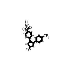 CCC1CC(c2ccc(C(F)(F)F)cc2)=C(c2ccc(S(N)(=O)=O)cn2)C1